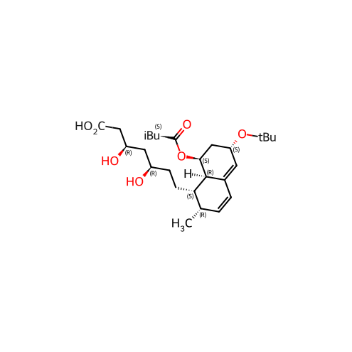 CC[C@H](C)C(=O)O[C@H]1C[C@H](OC(C)(C)C)C=C2C=C[C@H](C)[C@H](CC[C@@H](O)C[C@@H](O)CC(=O)O)[C@H]21